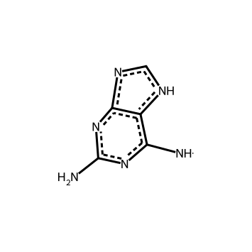 [NH]c1nc(N)nc2nc[nH]c12